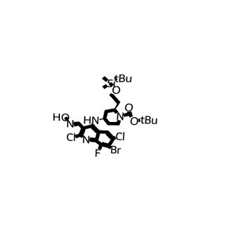 CC(C)(C)OC(=O)N1CC[C@H](Nc2c(/C=N/O)c(Cl)nc3c(F)c(Br)c(Cl)cc23)C[C@H]1CCO[Si](C)(C)C(C)(C)C